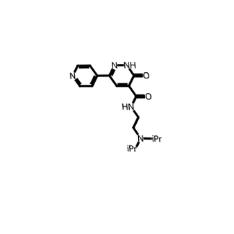 CC(C)N(CCNC(=O)c1cc(-c2ccncc2)n[nH]c1=O)C(C)C